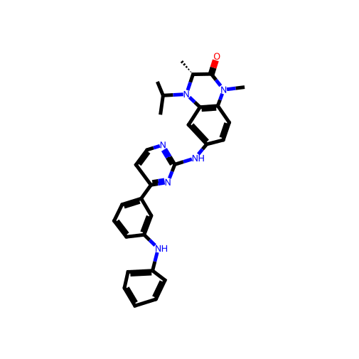 CC(C)N1c2cc(Nc3nccc(-c4cccc(Nc5ccccc5)c4)n3)ccc2N(C)C(=O)[C@H]1C